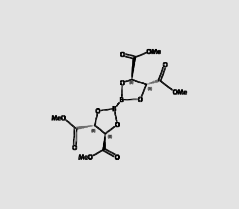 COC(=O)[C@@H]1OB(B2O[C@@H](C(=O)OC)[C@H](C(=O)OC)O2)O[C@H]1C(=O)OC